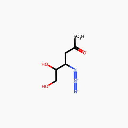 [N-]=[N+]=NC(CC(=O)S(=O)(=O)O)C(O)CO